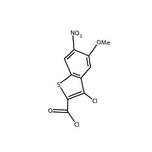 COc1cc2c(Cl)c(C(=O)Cl)sc2cc1[N+](=O)[O-]